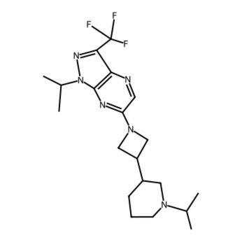 CC(C)N1CCCC(C2CN(c3cnc4c(C(F)(F)F)nn(C(C)C)c4n3)C2)C1